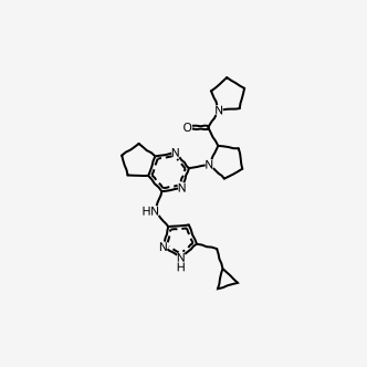 O=C(C1CCCN1c1nc2c(c(Nc3cc(CC4CC4)[nH]n3)n1)CCC2)N1CCCC1